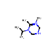 CC1=[N+](C(C)(C)C)CNCN1C(C)C(F)(F)F